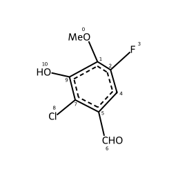 COc1c(F)cc(C=O)c(Cl)c1O